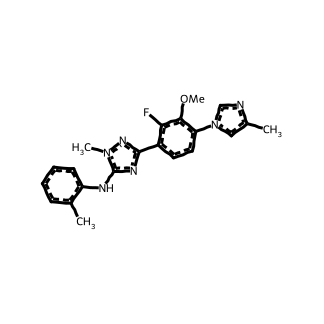 COc1c(-n2cnc(C)c2)ccc(-c2nc(Nc3ccccc3C)n(C)n2)c1F